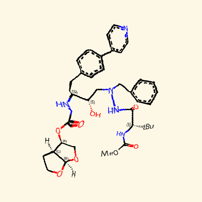 COC(=O)N[C@H](C(=O)NN(Cc1ccccc1)C[C@H](O)[C@H](Cc1ccc(-c2ccncc2)cc1)NC(=O)O[C@H]1CO[C@H]2OCC[C@H]21)C(C)(C)C